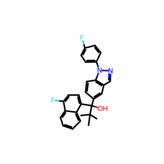 CC(C)(C)C(O)(c1ccc2c(cnn2-c2ccc(F)cc2)c1)c1ccc(F)c2ccccc12